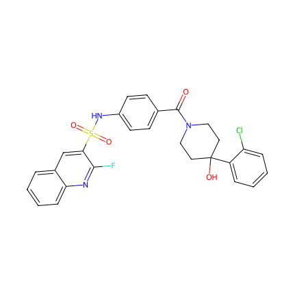 O=C(c1ccc(NS(=O)(=O)c2cc3ccccc3nc2F)cc1)N1CCC(O)(c2ccccc2Cl)CC1